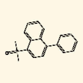 CP(C)(=O)c1ccc(-c2ccccc2)c2ccccc12